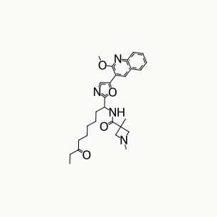 CCC(=O)CCCCCC(NC(=O)C1(C)CN(C)C1)c1ncc(-c2cc3ccccc3nc2OC)o1